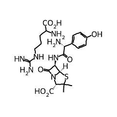 CC1(C)S[C@@H]2[C@H](NC(=O)[C@H](N)c3ccc(O)cc3)C(=O)N2[C@H]1C(=O)O.N=C(N)NCCCC(N)C(=O)O